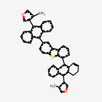 Cc1cocc1-c1c2c(c(-c3cccc4c3sc3ccc(-c5c6ccccc6c(-c6cocc6C)c6ccccc56)cc34)c3ccccc13)C=CCC2